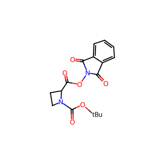 CC(C)(C)OC(=O)N1CCC1C(=O)ON1C(=O)c2ccccc2C1=O